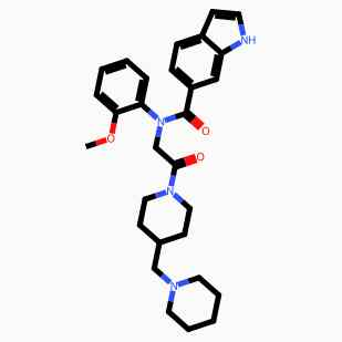 COc1ccccc1N(CC(=O)N1CCC(CN2CCCCC2)CC1)C(=O)c1ccc2cc[nH]c2c1